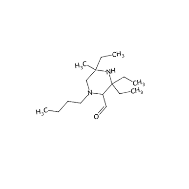 CCCCN1CC(C)(CC)NC(CC)(CC)C1C=O